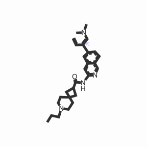 C=C/C(=C\N(C)C)c1ccc2cnc(NC(=O)C3CC4(CCN(CCC)CC4)C3)cc2c1